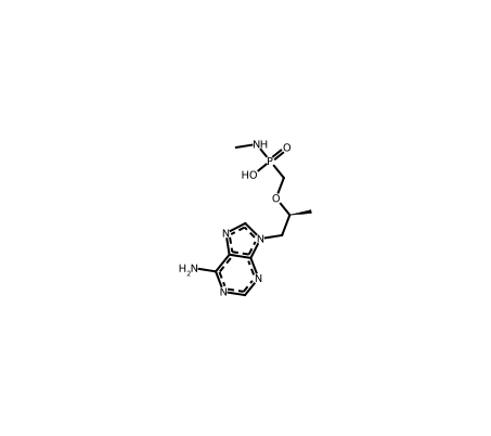 CNP(=O)(O)CO[C@@H](C)Cn1cnc2c(N)ncnc21